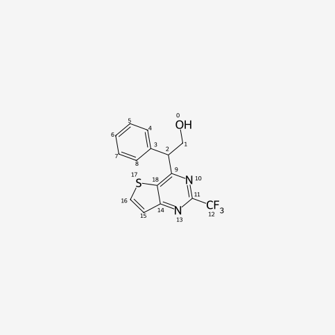 OCC(c1ccccc1)c1nc(C(F)(F)F)nc2ccsc12